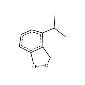 CC(C)c1cccc2c1COO2